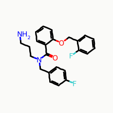 NCCCN(Cc1ccc(F)cc1)C(=O)c1ccccc1OCc1ccccc1F